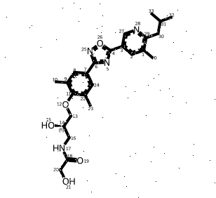 Cc1cc(-c2nc(-c3cc(C)c(OC[C@H](O)CNC(=O)CO)c(C)c3)no2)cnc1CC(C)C